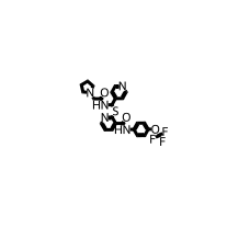 O=C(CN1CCCC1)NC(Sc1ncccc1C(=O)Nc1ccc(OC(F)(F)F)cc1)c1ccncc1